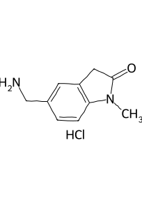 CN1C(=O)Cc2cc(CN)ccc21.Cl